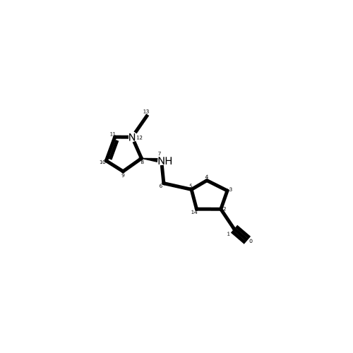 C#CC1CCC(CN[C@H]2CC=CN2C)C1